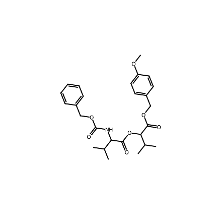 COc1ccc(COC(=O)C(OC(=O)C(NC(=O)OCc2ccccc2)C(C)C)C(C)C)cc1